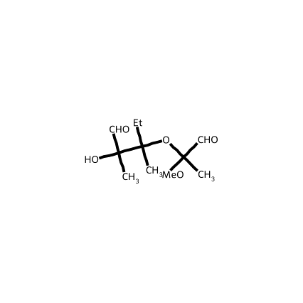 CCC(C)(OC(C)(C=O)OC)C(C)(O)C=O